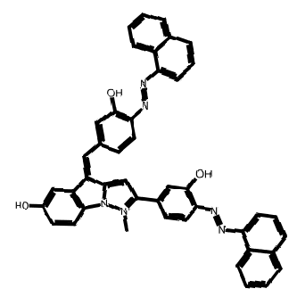 C[n+]1c(-c2ccc(/N=N/c3cccc4ccccc34)c(O)c2)cc2/c(=C\c3ccc(/N=N/c4cccc5ccccc45)c(O)c3)c3cc(O)ccc3n21